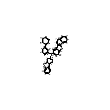 c1ccc(-c2cccc(N(c3ccc4c(c3)sc3ccccc34)c3ccc4sc5c6ccccc6ccc5c4c3)c2)cc1